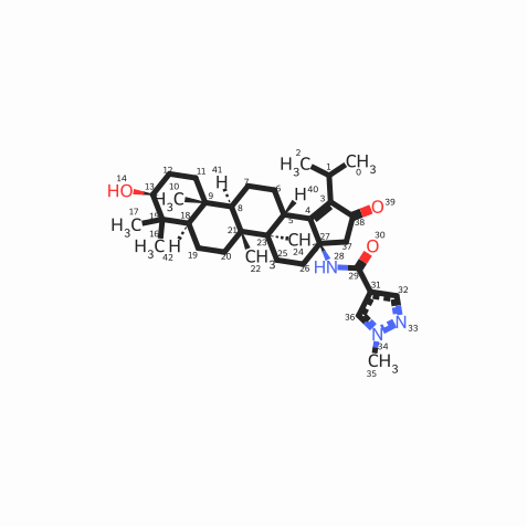 CC(C)C1=C2[C@H]3CC[C@@H]4[C@@]5(C)CC[C@H](O)C(C)(C)[C@@H]5CC[C@@]4(C)[C@]3(C)CC[C@@]2(NC(=O)c2cnn(C)c2)CC1=O